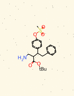 CC(C)(C)OC(=O)C(CN)C(Cc1ccccc1)c1ccc(OS(C)(=O)=O)cc1